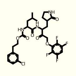 CC(C)CC(NC(=O)OCCc1cccc(Cl)c1)C(=O)NC(CC1CCNC1=O)C(=O)COc1c(F)c(F)cc(F)c1F